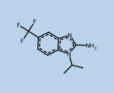 CC(C)n1c(N)nc2cc(C(F)(F)F)ccc21